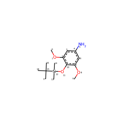 COc1cc(N)cc(OC)c1O[Si](C)(C)C(C)(C)C